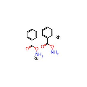 NOC(=O)c1ccccc1.NOC(=O)c1ccccc1.[Rh].[Ru]